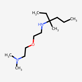 CCCC(C)(CC)NCCOCCN(C)C